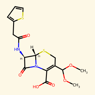 COC(OC)C1=C(C(=O)O)N2C(=O)[C@@H](NC(=O)Cc3cccs3)[C@@H]2SC1